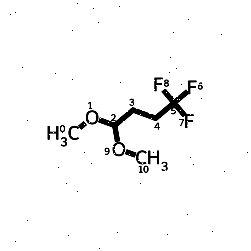 COC(CCC(F)(F)F)OC